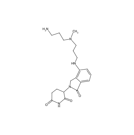 CN(CCCN)CCCNc1cccc2c1CN(C1CCC(=O)NC1=O)C2=O